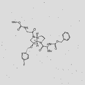 CC(C)(C)OC(=O)NCC(=O)N1C[C@H](OCc2ccc(F)cc2)[C@@H]2[C@H]1CCN2C(=O)C(NC(=O)OCc1ccccc1)C(C)(C)C